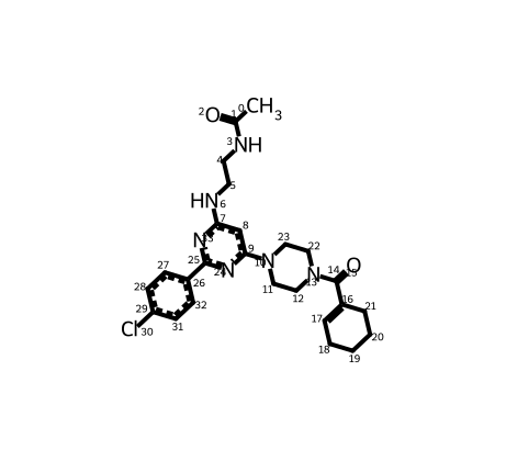 CC(=O)NCCNc1cc(N2CCN(C(=O)C3=CCCCC3)CC2)nc(-c2ccc(Cl)cc2)n1